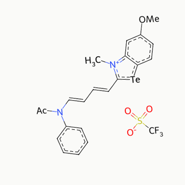 COc1ccc2[te]c(C=CC=CN(C(C)=O)c3ccccc3)[n+](C)c2c1.O=S(=O)([O-])C(F)(F)F